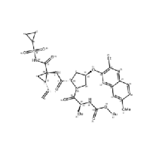 C=C[C@@H]1C[C@]1(NC(=O)[C@@H]1C[C@@H](Oc2nc3cc(OC)ccc3nc2CC)CN1C(=O)[C@@H](NC(=O)OC(C)(C)C)C(C)(C)C)C(=O)NS(=O)(=O)C1CC1